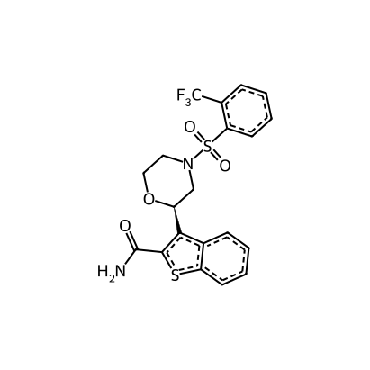 NC(=O)c1sc2ccccc2c1[C@@H]1CN(S(=O)(=O)c2ccccc2C(F)(F)F)CCO1